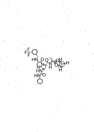 CC[C@H](NC(=O)[C@@H]1C[C@@](C)(NC(=O)Nc2ccccc2)c2ncc(NCc3cccc(C(F)(F)F)c3)c(=O)n21)B1O[C@@H]2C[C@@H]3C[C@@H](C3(C)C)[C@]2(C)O1